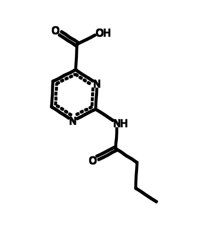 CCCC(=O)Nc1nccc(C(=O)O)n1